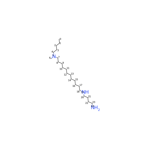 CCCCCN(C)CCCCCCCCCCCCNCCCCN